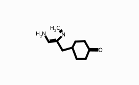 C=N/C(=C\N)CC1CCC(=O)CC1